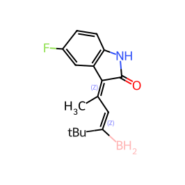 B/C(=C/C(C)=C1\C(=O)Nc2ccc(F)cc21)C(C)(C)C